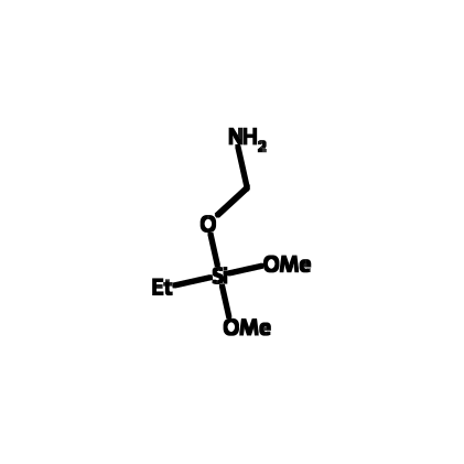 CC[Si](OC)(OC)OCN